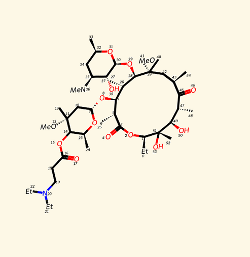 CC[C@H]1OC(=O)[C@H](C)[C@@H](O[C@H]2C[C@@](C)(OC)C(OC(=O)CCN(CC)CC)[C@H](C)O2)[C@H](C)[C@@H](O[C@@H]2O[C@H](C)C[C@H](NC)[C@H]2O)[C@](C)(OC)C[C@@H](C)C(=O)[C@H](C)[C@@H](O)[C@]1(C)O